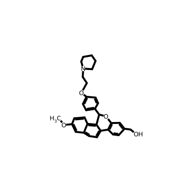 COc1ccc2c3c(ccc2c1)-c1ccc(CO)cc1OC3c1ccc(OCCN2CCCCC2)cc1